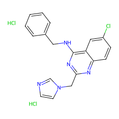 Cl.Cl.Clc1ccc2nc(Cn3ccnc3)nc(NCc3ccccc3)c2c1